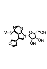 CSc1ncnc2c1c(-c1ccoc1)cn2[C@@H]1O[C@H](CO)[C@@H](O)[C@H]1O